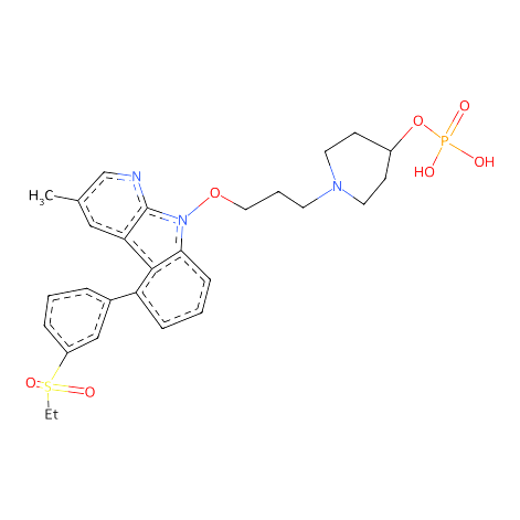 CCS(=O)(=O)c1cccc(-c2cccc3c2c2cc(C)cnc2n3OCCCN2CCC(OP(=O)(O)O)CC2)c1